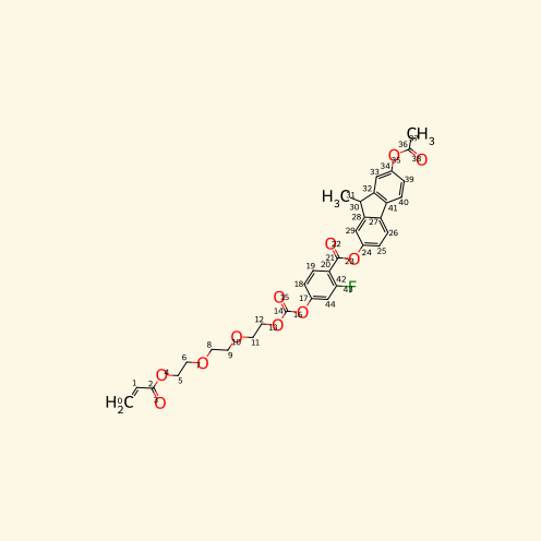 C=CC(=O)OCCOCCOCCOC(=O)Oc1ccc(C(=O)Oc2ccc3c(c2)C(C)c2cc(OC(C)=O)ccc2-3)c(F)c1